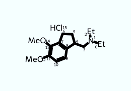 CCN(CC)CC1CCc2c1ccc(OC)c2OC.Cl